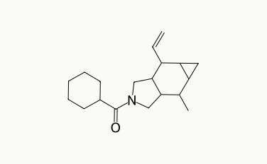 C=CC1C2CC2C(C)C2CN(C(=O)C3CCCCC3)CC12